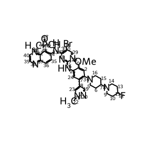 COc1cc(N2CCC(N3CCC(F)CC3)CC2)c(-c2cnn(C)c2)cc1Nc1ncc(Br)c(Nc2ccc3nccnc3c2P(C)(C)=O)n1